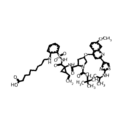 C=CC1CC1(NC(=O)C1CC(Oc2cc(-c3csc(NC(C)C)n3)nc3cc(OC)ccc23)CN1C(=O)OC(C)(C)C)C(=O)NS(=O)(=O)c1ccccc1NCCCCCCCCC(=O)O